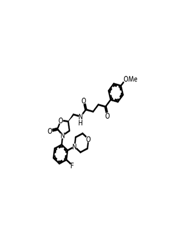 COc1ccc(C(=O)CCC(=O)NC[C@H]2CN(c3cccc(F)c3N3CCOCC3)C(=O)O2)cc1